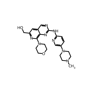 CN1CCN(c2ccc(Nc3ncc4cc(CO)nc(N5CCOCC5)c4n3)nc2)CC1